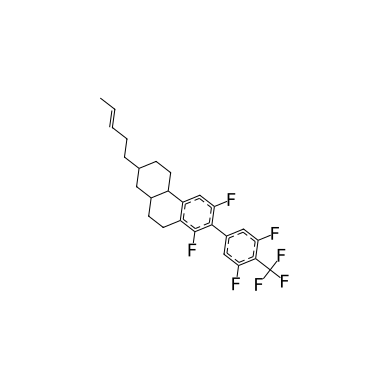 CC=CCCC1CCC2c3cc(F)c(-c4cc(F)c(C(F)(F)F)c(F)c4)c(F)c3CCC2C1